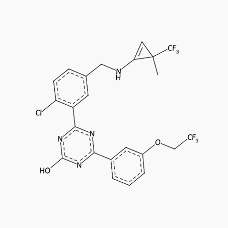 CC1(C(F)(F)F)C=C1NCc1ccc(Cl)c(-c2nc(O)nc(-c3cccc(OCC(F)(F)F)c3)n2)c1